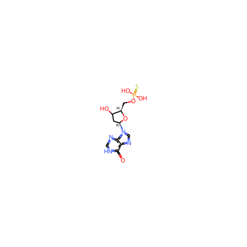 O=c1[nH]cnc2c1ncn2[C@H]1CC(O)[C@@H](COP(O)(O)=S)O1